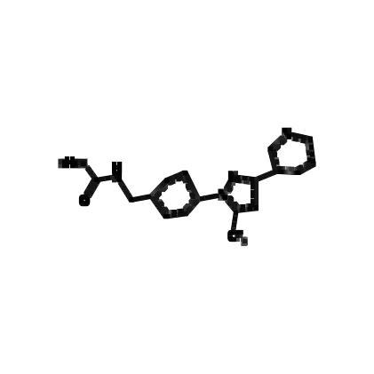 CCCCCCC(=O)NCc1ccc(-n2nc(-c3cccnc3)cc2C(F)(F)F)cc1